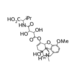 COc1ccc2c3c1OC1C(OC(=O)C(O)C(O)C(=O)NC(C(=O)O)C(C)C)=CC[C@@]4(O)[C@@H](C2)N(C)CC[C@]314